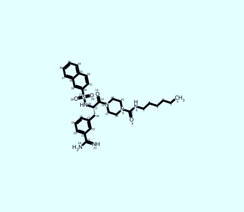 CCCCCCNC(=O)N1CCN(C(=O)[C@H](Cc2cccc(C(=N)N)c2)NS(=O)(=O)c2ccc3ccccc3c2)CC1